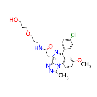 COc1ccc2c(c1)C(c1ccc(Cl)cc1)=N[C@@H](CC(=O)NCCCOCCCO)c1nnc(C)n1-2